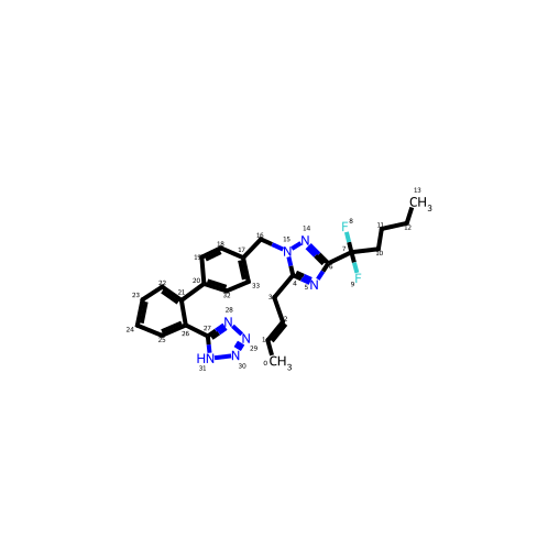 CC=CCc1nc(C(F)(F)CCCC)nn1Cc1ccc(-c2ccccc2-c2nnn[nH]2)cc1